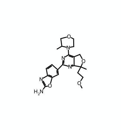 COCCC1(C)OCc2c(N3CCOCC3C)nc(-c3ccc4nc(N)oc4c3)nc21